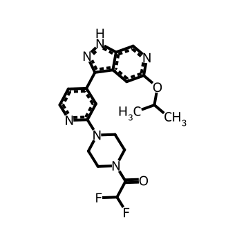 CC(C)Oc1cc2c(-c3ccnc(N4CCN(C(=O)C(F)F)CC4)c3)n[nH]c2cn1